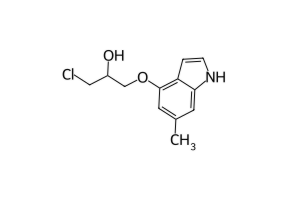 Cc1cc(OCC(O)CCl)c2cc[nH]c2c1